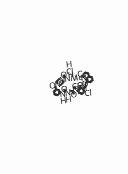 CNC(=O)N1CCN(C(=O)c2cccc(NC(=O)NCC(=O)N(C)c3ccc(Cl)c(COc4cccc5ccc(C)nc45)c3Cl)c2)CC1.Cl